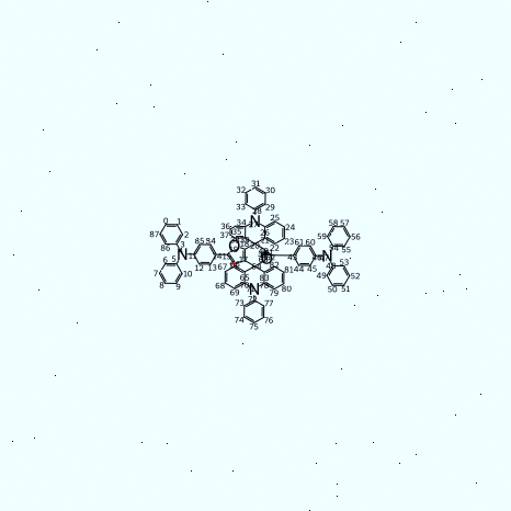 c1ccc(N(c2ccccc2)c2ccc(-c3cc4c(o3)C3(c5ccccc5N(c5ccccc5)c5ccccc53)c3cc(-c5ccc(N(c6ccccc6)c6ccccc6)cc5)oc3C43c4ccccc4N(c4ccccc4)c4ccccc43)cc2)cc1